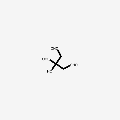 O=CCC(O)(C=O)CC=O